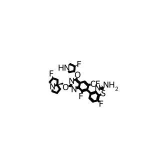 Nc1nc2c(-c3c(C(F)(F)F)cc4c(O[C@H]5CNC[C@@H]5F)nc(OC[C@@]56CCCN5C[C@H](F)C6)nc4c3F)ccc(F)c2s1